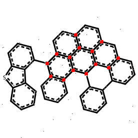 c1ccc(-c2ccccc2N(c2ccccc2-c2ccccc2)c2ccccc2-c2cccc(N(c3ccccc3-c3ccccc3)c3cccc4sc5ccccc5c34)c2)cc1